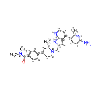 Cc1nc(N)ccc1-c1ccnc2c1cc(CN1CCC(c3ccc(C(=O)N(C)C)cc3)CC1)n2C